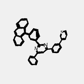 c1ccc(-c2cc(-c3cccc(-c4cccnc4)c3)nc(-c3cccc(-c4c5ccccc5cc5ccccc45)c3)n2)cc1